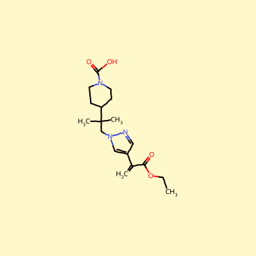 C=C(C(=O)OCC)c1cnn(CC(C)(C)C2CCN(C(=O)O)CC2)c1